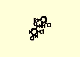 CCc1cccc(Cl)c1NC(=O)c1cnc(Cl)nc1Cl